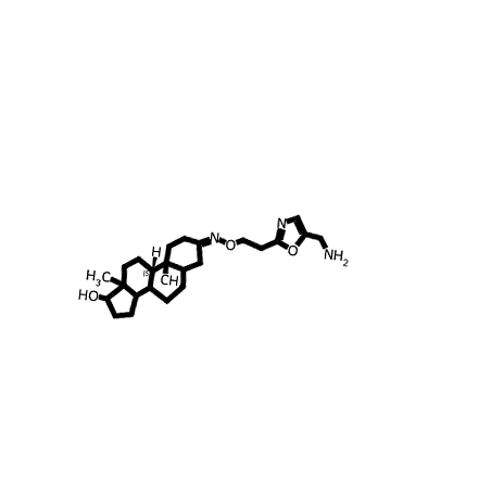 CC12CC[C@H]3C(CCC4CC(=NOCCc5ncc(CN)o5)CCC43C)C1CCC2O